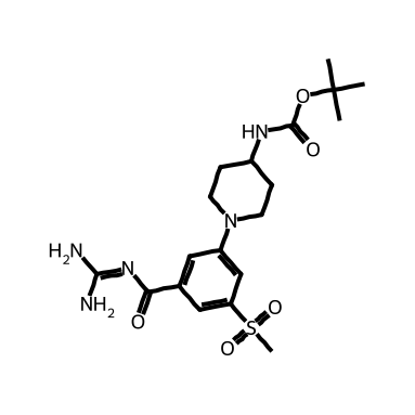 CC(C)(C)OC(=O)NC1CCN(c2cc(C(=O)N=C(N)N)cc(S(C)(=O)=O)c2)CC1